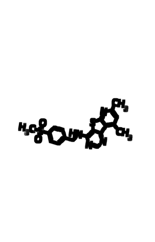 Cc1cc(C)c2c(n1)sc1c(NCc3ccc(S(C)(=O)=O)cc3)ncnc12